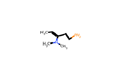 C/C=C(/CCP)N(C)C